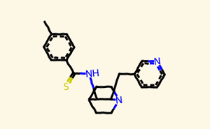 Cc1ccc(C(=S)NC2C3CCN(CC3)C2Cc2cccnc2)cc1